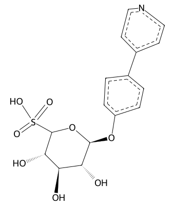 O=S(=O)(O)C1O[C@@H](Oc2ccc(-c3ccncc3)cc2)[C@H](O)[C@@H](O)[C@@H]1O